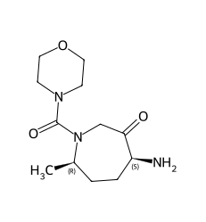 C[C@@H]1CC[C@H](N)C(=O)CN1C(=O)N1CCOCC1